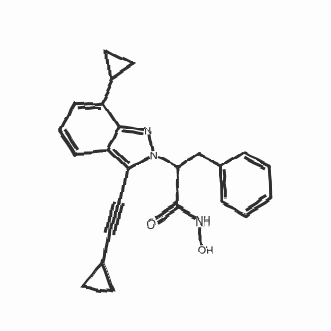 O=C(NO)C(Cc1ccccc1)n1nc2c(C3CC3)cccc2c1C#CC1CC1